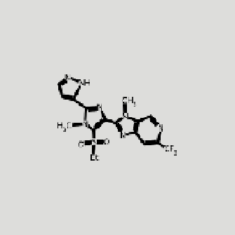 CCS(=O)(=O)c1c(-c2nc3cc(C(F)(F)F)ncc3n2C)nc(-c2ccn[nH]2)n1C